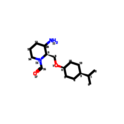 CC(C)[C@H]1CC[C@@H](OC[C@H]2C(N)CCCN2C=O)CC1